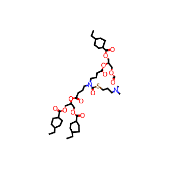 CCC1CCC(C(=O)OCC(COC=O)OC(=O)CCCN(CCCC(=O)OC(COC(=O)C2CCC(CC)CC2)COC(=O)C2CCC(CC)CC2)C(=O)SCCCN(C)C)CC1